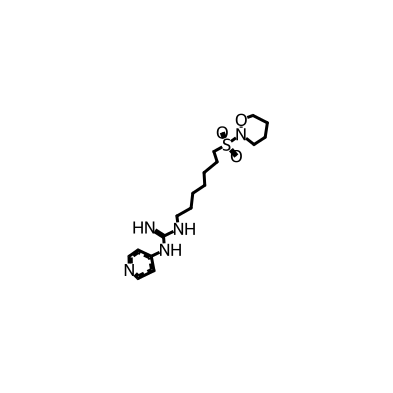 N=C(NCCCCCCCS(=O)(=O)N1CCCCO1)Nc1ccncc1